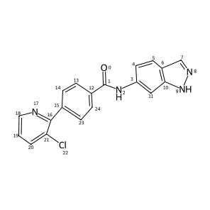 O=C(Nc1ccc2cn[nH]c2c1)c1ccc(-c2ncccc2Cl)cc1